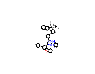 CC1(C)c2cc3ccccc3cc2-c2c(-c3cccc(/C(=C/C(N)c4cc(-c5ccccc5)cc5oc6ccccc6c45)NCc4ccccc4)c3)cccc21